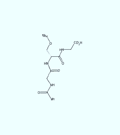 CC(C)C(=O)NCC(=O)N[C@H](COC(C)(C)C)C(=O)NCC(=O)O